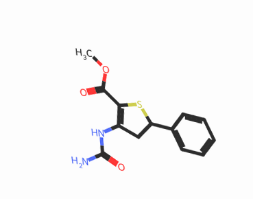 COC(=O)C1=C(NC(N)=O)CC(c2ccccc2)S1